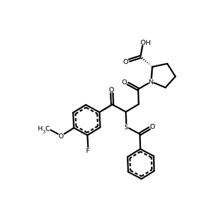 COc1ccc(C(=O)C(CC(=O)N2CCC[C@H]2C(=O)O)SC(=O)c2ccccc2)cc1F